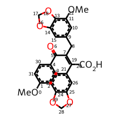 COc1ccc(C(=O)/C(Cc2cc(OC)c3c(c2)OCO3)=C(/C(=O)O)c2ccc3c(c2)OCO3)cc1